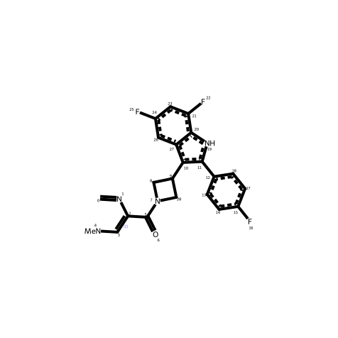 C=N/C(=C\NC)C(=O)N1CC(c2c(-c3ccc(F)cc3)[nH]c3c(F)cc(F)cc23)C1